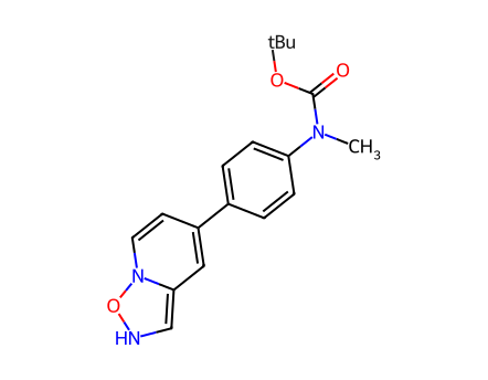 CN(C(=O)OC(C)(C)C)c1ccc(C2=CC3=CNON3C=C2)cc1